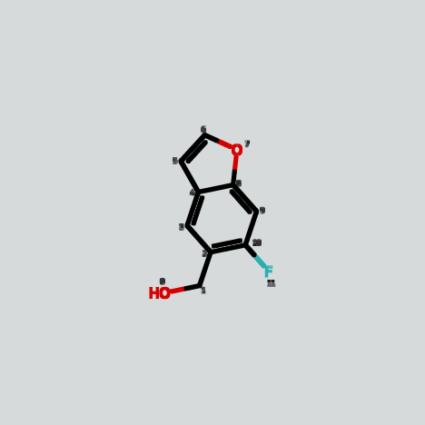 OCc1cc2ccoc2cc1F